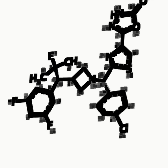 CC(C)(F)[C@H](c1cc(F)cc(F)c1)C1CN([C@@H](c2ccc(Cl)cc2)c2nc(-c3n[nH]c(=O)o3)cs2)C1